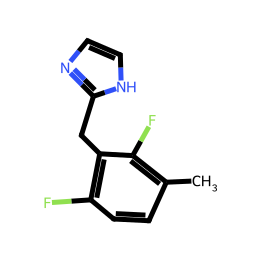 Cc1ccc(F)c(Cc2ncc[nH]2)c1F